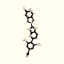 Cc1cc(C#N)cc(O)c1-c1ccc2oc(N3Cc4c[nH]c(=O)cc4C3)nc2n1